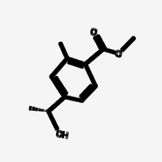 COC(=O)c1ccc([C@@H](C)O)cc1C